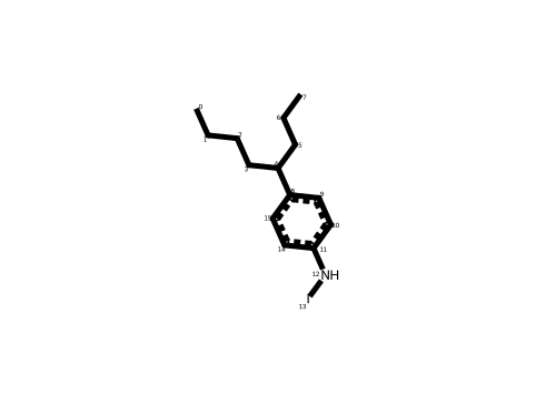 CCCCC(CCC)c1ccc(NI)cc1